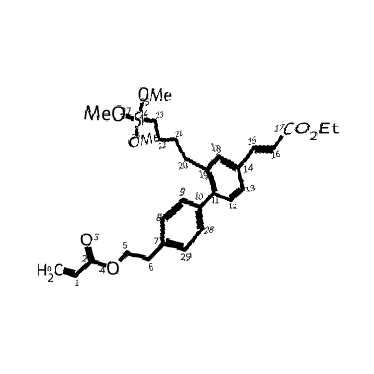 C=CC(=O)OCCc1ccc(-c2ccc(/C=C/C(=O)OCC)cc2CCCC[Si](OC)(OC)OC)cc1